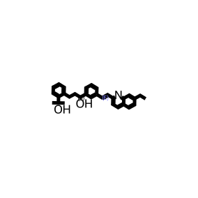 CCc1ccc2ccc(/C=C/c3cccc([C@@H](O)CCc4ccccc4C(C)(C)O)c3)nc2c1